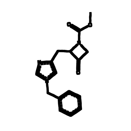 COC(=O)N1CC(=O)C1Cc1cn(Cc2ccccc2)cn1